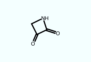 O=C1CNC1=O